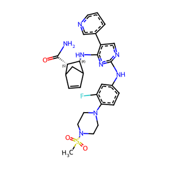 CS(=O)(=O)N1CCN(c2ccc(Nc3ncc(-c4cccnc4)c(N[C@@H]4C5C=CC(C5)[C@@H]4C(N)=O)n3)cc2F)CC1